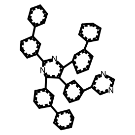 c1ccc(-c2cccc(-c3nc(-c4cccc(-c5ccccc5)c4)c(-c4cccc(-c5cncnc5)c4)c(-c4cccc(-c5ccccc5)c4)n3)c2)cc1